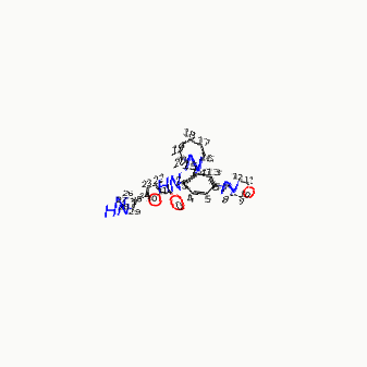 O=C(Nc1ccc(N2CCOCC2)cc1N1CCCCC1)c1ccc(-c2cn[nH]c2)o1